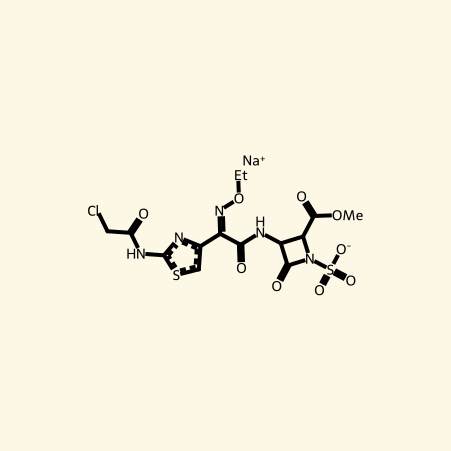 CCON=C(C(=O)NC1C(=O)N(S(=O)(=O)[O-])C1C(=O)OC)c1csc(NC(=O)CCl)n1.[Na+]